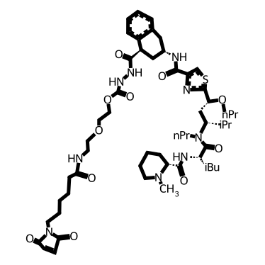 CCCO[C@H](C[C@H](C(C)C)N(CCC)C(=O)[C@@H](NC(=O)[C@H]1CCCCN1C)[C@@H](C)CC)c1nc(C(=O)N[C@H]2Cc3ccccc3[C@H](C(=O)NNC(=O)OCCOCCNC(=O)CCCCCN3C(=O)C=CC3=O)C2)cs1